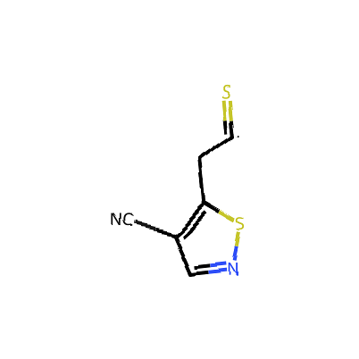 N#Cc1cnsc1C[C]=S